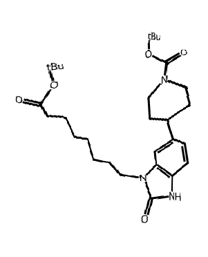 CC(C)(C)OC(=O)CCCCCCCn1c(=O)[nH]c2ccc(C3CCN(C(=O)OC(C)(C)C)CC3)cc21